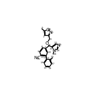 Cc1cc(COC(c2ccc(C#N)c(-c3ccccc3C)c2)c2cncn2C)no1